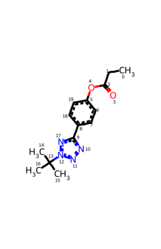 CCC(=O)Oc1ccc(-c2nnn(C(C)(C)C)n2)cc1